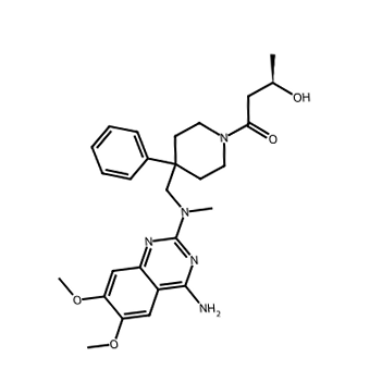 COc1cc2nc(N(C)CC3(c4ccccc4)CCN(C(=O)C[C@@H](C)O)CC3)nc(N)c2cc1OC